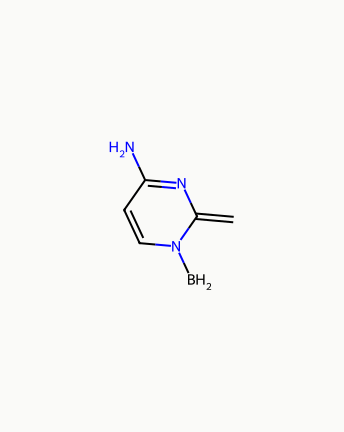 BN1C=CC(N)=NC1=C